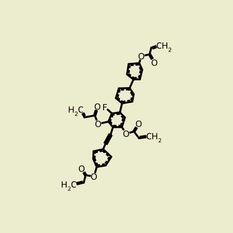 C=CC(=O)Oc1ccc(C#Cc2c(OC(=O)C=C)cc(-c3ccc(-c4ccc(OC(=O)C=C)cc4)cc3)c(F)c2OC(=O)C=C)cc1